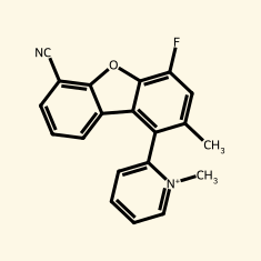 Cc1cc(F)c2oc3c(C#N)cccc3c2c1-c1cccc[n+]1C